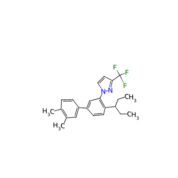 CCC(CC)c1ccc(-c2ccc(C)c(C)c2)cc1-n1ccc(C(F)(F)F)n1